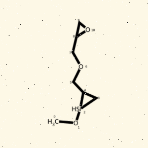 CO[SiH]1CC1COCC1CO1